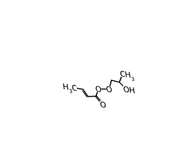 CC=CC(=O)OOCC(C)O